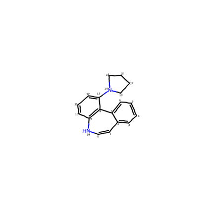 C1=Cc2ccccc2-c2c(cccc2N2CCCC2)N1